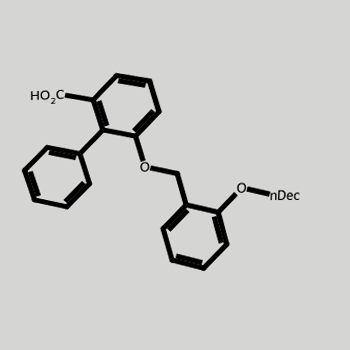 CCCCCCCCCCOc1ccccc1COc1cccc(C(=O)O)c1-c1ccccc1